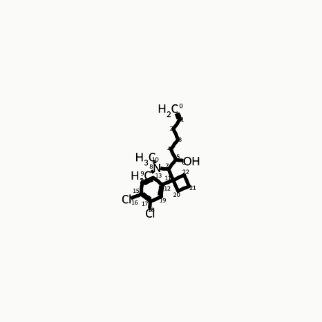 C=CCCCC(O)C(N(C)C)C1(c2ccc(Cl)c(Cl)c2)CCC1